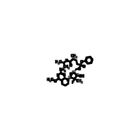 COC1=NC(N)=NC2C1=CCCN2[C@@H]1O[C@H](COP(=O)(CC[C@@H](C)C(=O)OC(C)C)Oc2ccccc2)[C@@H](O)[C@@]1(C)F